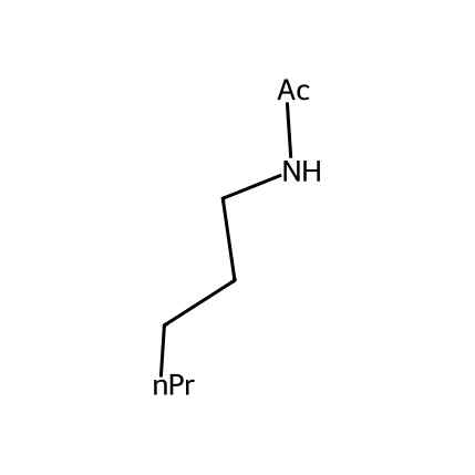 CCCCCCNC(C)=O